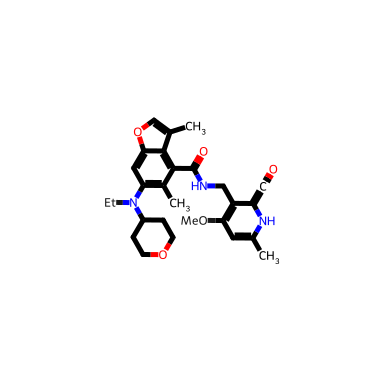 CCN(c1cc2occ(C)c2c(C(=O)NCC2=C(OC)C=C(C)NC2=C=O)c1C)C1CCOCC1